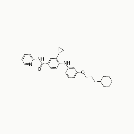 O=C(Nc1ccccn1)c1ccc(Nc2cccc(OCCCC3CCCCC3)c2)c(C2CC2)c1